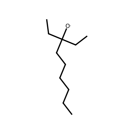 CCCCCCC([O])(CC)CC